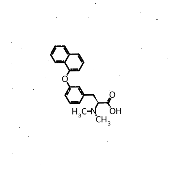 CN(C)[C@@H](Cc1cccc(Oc2cccc3ccccc23)c1)C(=O)O